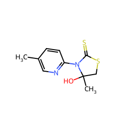 Cc1ccc(N2C(=S)SCC2(C)O)nc1